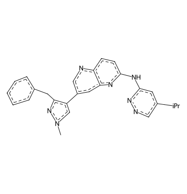 CC(C)c1cnnc(Nc2ccc3ncc(-c4cn(C)nc4Cc4ccccc4)cc3n2)c1